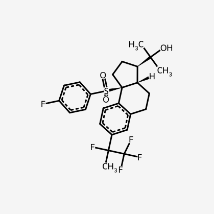 CC(C)(O)[C@@H]1CC[C@@]2(S(=O)(=O)c3ccc(F)cc3)c3ccc(C(C)(F)C(F)(F)F)cc3CC[C@@H]12